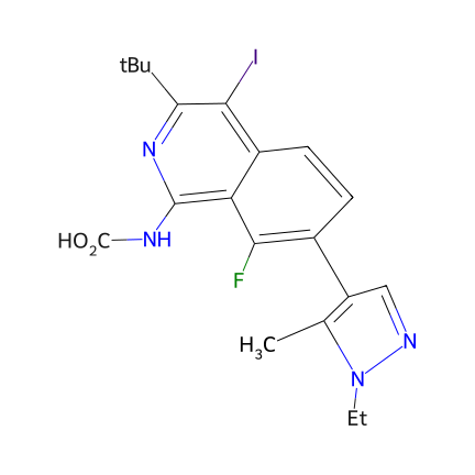 CCn1ncc(-c2ccc3c(I)c(C(C)(C)C)nc(NC(=O)O)c3c2F)c1C